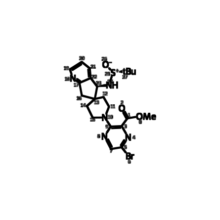 COC(=O)c1nc(Br)cnc1N1CCC2(CC1)Cc1ncccc1[C@H]2N[S@@+]([O-])C(C)(C)C